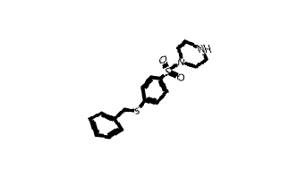 O=S(=O)(c1ccc(SCc2ccccc2)cc1)N1CCNCC1